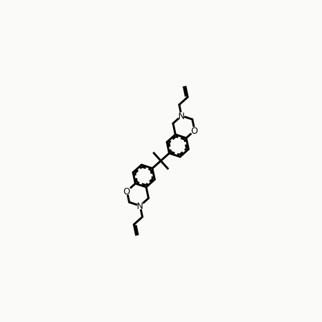 C=CCN1COc2ccc(C(C)(C)c3ccc4c(c3)CN(CC=C)CO4)cc2C1